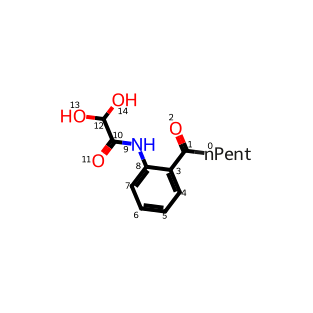 CCCCCC(=O)c1ccccc1NC(=O)C(O)O